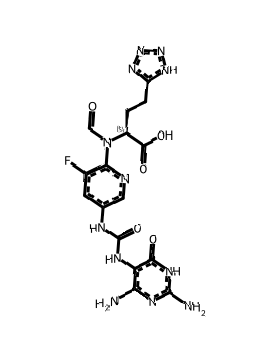 Nc1nc(N)c(NC(=O)Nc2cnc(N(C=O)[C@@H](CCc3nnn[nH]3)C(=O)O)c(F)c2)c(=O)[nH]1